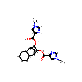 Cn1cnc(C(=O)OC2C3CC(C4CCCCC43)C2OC(=O)c2cn(C)cn2)c1